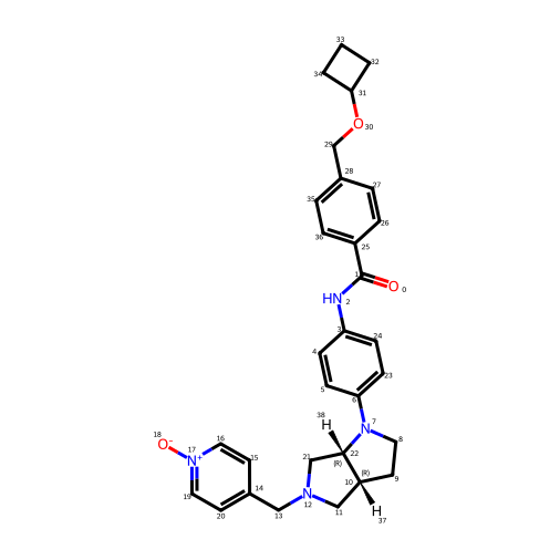 O=C(Nc1ccc(N2CC[C@@H]3CN(Cc4cc[n+]([O-])cc4)C[C@@H]32)cc1)c1ccc(COC2CCC2)cc1